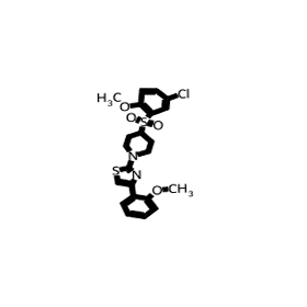 COc1ccccc1-c1csc(N2CCC(S(=O)(=O)c3cc(Cl)ccc3OC)CC2)n1